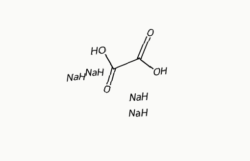 O=C(O)C(=O)O.[NaH].[NaH].[NaH].[NaH]